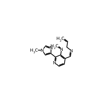 C=CC/N=C\c1ccnc(-c2cn(C)cn2)c1N=C